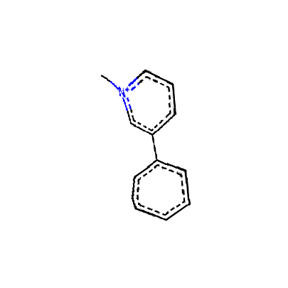 C[n+]1cccc(-c2ccccc2)c1